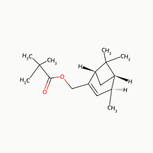 C[C@H]1C=C(COC(=O)C(C)(C)C)[C@H]2C[C@@H]1C2(C)C